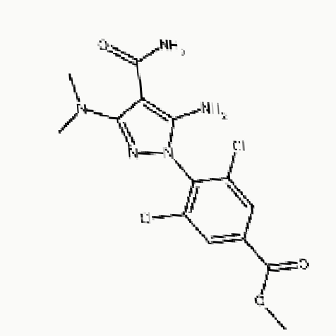 COC(=O)c1cc(Cl)c(-n2nc(N(C)C)c(C(N)=O)c2N)c(Cl)c1